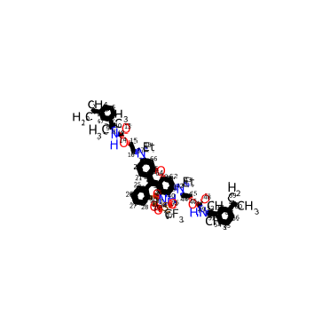 C=C(C)c1cccc(C(C)(C)NC(=O)OCCN(CC)c2ccc3c(-c4ccccc4S(=O)(=O)NS(=O)(=O)C(F)(F)F)c4cc/c(=[N+](/CC)CCOC(=O)NC(C)(C)c5cccc(C(=C)C)c5)cc-4oc3c2)c1